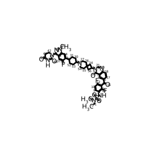 CCN(C)S(=O)(=O)Nc1ccc(F)c(C(=O)c2ccc3ncn(C4CC5(CCN(C6CCC(c7cc8c(cc7F)c(N7CCC(=O)NC7=O)nn8C)CC6)CC5)C4)c(=O)c3c2)c1F